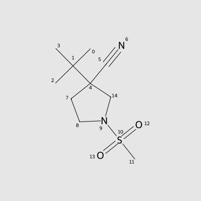 CC(C)(C)C1(C#N)CCN(S(C)(=O)=O)C1